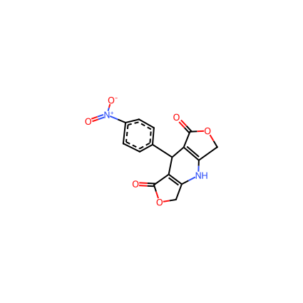 O=C1OCC2=C1C(c1ccc([N+](=O)[O-])cc1)C1=C(COC1=O)N2